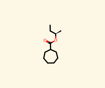 CC[C@@H](C)OC(=O)C1CCCCCC1